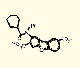 CC(C)N(C(=O)C1CCCCC1)c1cc2c(cc1C(=O)O)oc1ccc(C(=O)O)cc12